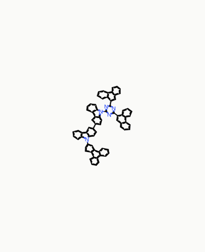 c1ccc2c(c1)cc(-c1nc(-c3cc4ccccc4c4ccccc34)nc(-n3c4ccccc4c4cc(-c5ccc6c(c5)c5ccccc5n6-c5ccc6c7ccccc7c7ccccc7c6c5)ccc43)n1)c1ccccc12